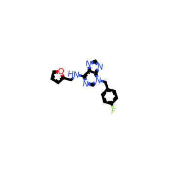 Fc1ccc(Cn2cnc(NCc3ccco3)c3ncnc2-3)cc1